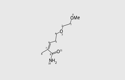 COCCOCCC=C(C)C(N)=O